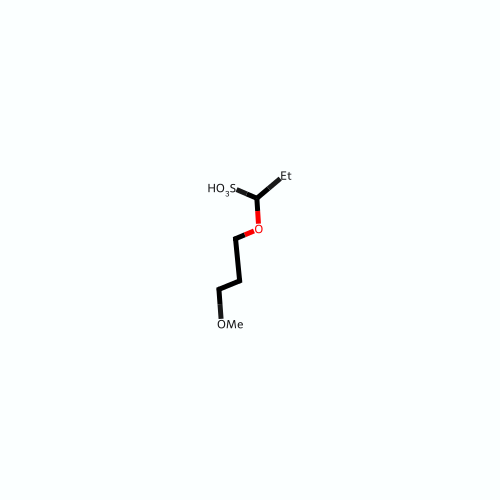 CCC(OCCCOC)S(=O)(=O)O